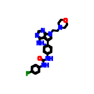 Nc1ncnc2c1c(-c1ccc(NC(=O)Nc3ccc(F)cc3)cc1)cn2CCN1CCOCC1